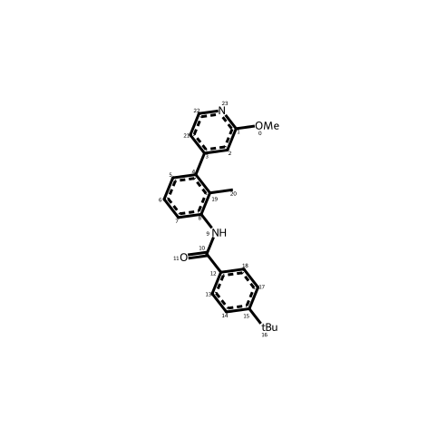 COc1cc(-c2cccc(NC(=O)c3ccc(C(C)(C)C)cc3)c2C)ccn1